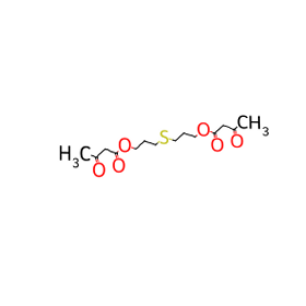 CC(=O)CC(=O)OCCCSCCCOC(=O)CC(C)=O